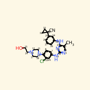 Cc1cnc(Nc2ccc(N3CCN(CCO)CC3)c(Cl)c2)nc1Nc1cccc(C2(C#N)CC2)c1